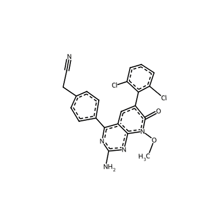 COn1c(=O)c(-c2c(Cl)cccc2Cl)cc2c(-c3ccc(CC#N)cc3)nc(N)nc21